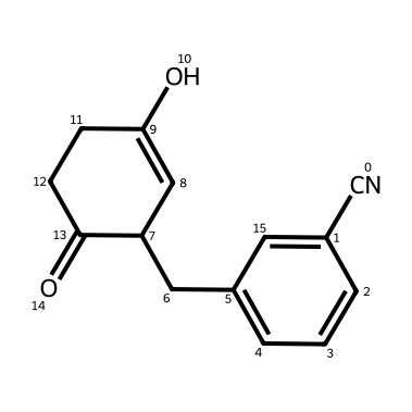 N#Cc1cccc(CC2C=C(O)CCC2=O)c1